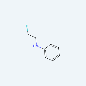 FCCNc1[c]cccc1